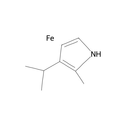 Cc1[nH]ccc1C(C)C.[Fe]